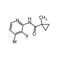 CC1(C(=O)Nc2nccc(Br)c2F)CC1